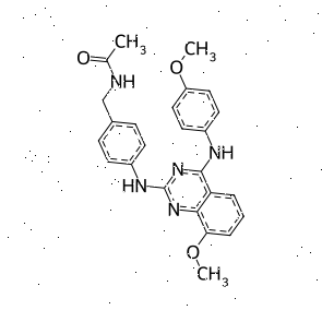 COc1ccc(Nc2nc(Nc3ccc(CNC(C)=O)cc3)nc3c(OC)cccc23)cc1